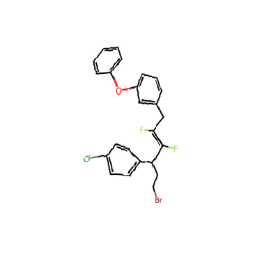 FC(Cc1cccc(Oc2ccccc2)c1)=C(F)C(CCBr)c1ccc(Cl)cc1